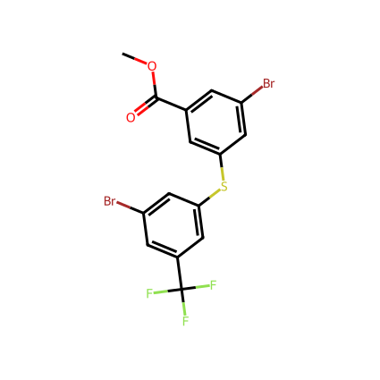 COC(=O)c1cc(Br)cc(Sc2cc(Br)cc(C(F)(F)F)c2)c1